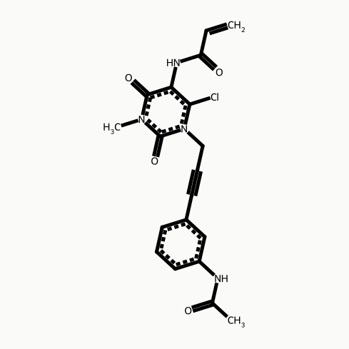 C=CC(=O)Nc1c(Cl)n(CC#Cc2cccc(NC(C)=O)c2)c(=O)n(C)c1=O